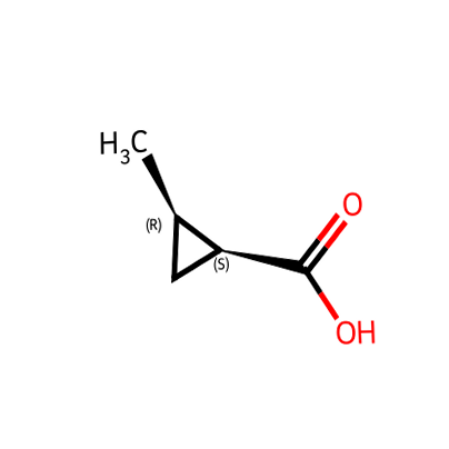 C[C@@H]1C[C@@H]1C(=O)O